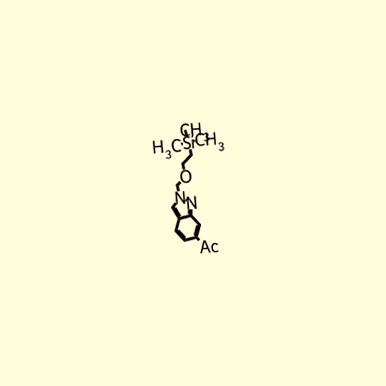 CC(=O)c1ccc2cn(COCC[Si](C)(C)C)nc2c1